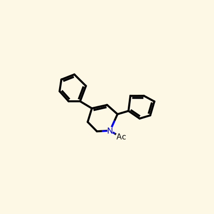 CC(=O)N1CCC(c2ccccc2)=CC1c1ccccc1